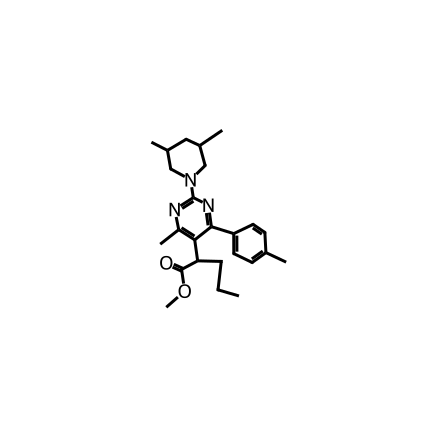 CCCC(C(=O)OC)c1c(C)nc(N2CC(C)CC(C)C2)nc1-c1ccc(C)cc1